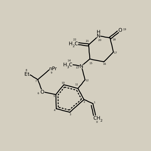 C=Cc1ccc(OC(CC)CCC)cc1CN(C)C1CCC(=O)NC1=C